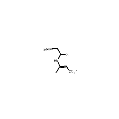 CCCCCCCC(CC)NC(C)=CC(=O)O